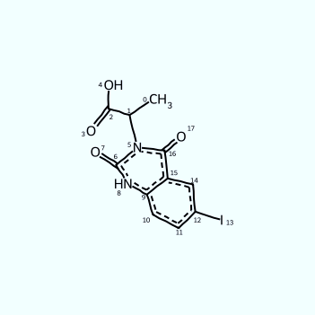 CC(C(=O)O)n1c(=O)[nH]c2ccc(I)cc2c1=O